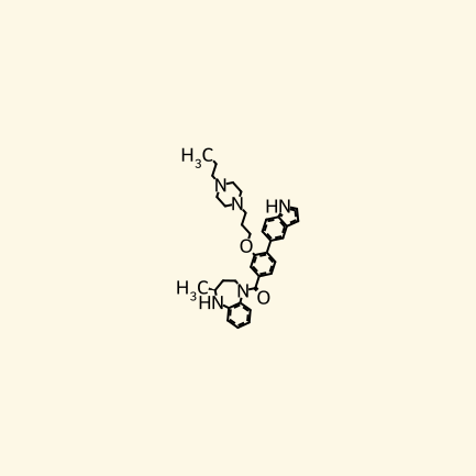 CCCN1CCN(CCCOc2cc(C(=O)N3CC[C@H](C)Nc4ccccc43)ccc2-c2ccc3[nH]ccc3c2)CC1